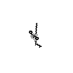 CCCCCCCCCCOc1c(OC(=O)c2ccccc2)c(=O)oc2c(OCC=C(C)CCC=C(C)C)cccc12